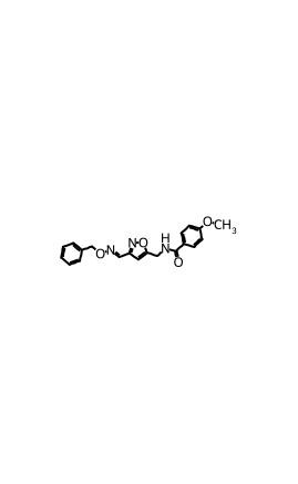 COc1ccc(C(=O)NCc2cc(/C=N/OCc3ccccc3)no2)cc1